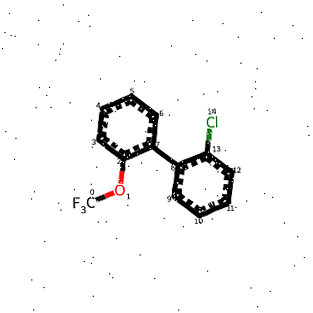 FC(F)(F)Oc1ccccc1-c1ccc[c]c1Cl